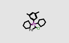 Cc1cc(C)cc([PH]([CH](Cl)[Pd])(C2CCCCC2)C2CCCCC2)c1